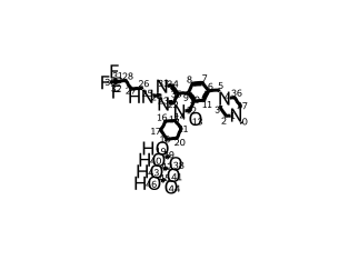 CN1CCN(Cc2ccc3c(c2)c(=O)n([C@H]2CC[C@H](O)CC2)c2nc(NCCCC(F)(F)F)ncc32)CC1.O=CO.O=CO.O=CO